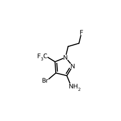 Nc1nn(CCF)c(C(F)(F)F)c1Br